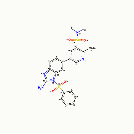 COc1ncc(-c2ccc3nc(N)n(S(=O)(=O)c4ccccc4)c3c2)cc1S(=O)(=O)N(C)C